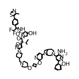 Cc1ncsc1-c1ccc([C@@H](NC(=O)[C@@H]2C[C@@H](O)CN2C(=O)[C@@H](c2cc(N3CCC(CN4CCC(O[C@H]5C[C@H](Oc6cc(N7CC8CCN(c9cc(-c%10ccccc%10O)nnc9N)CC7C8)ccn6)C5)CC4)CC3)no2)C(C)C)C(F)F)cc1